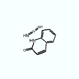 N=[N+]=N.O=c1ccc2ccccc2[nH]1